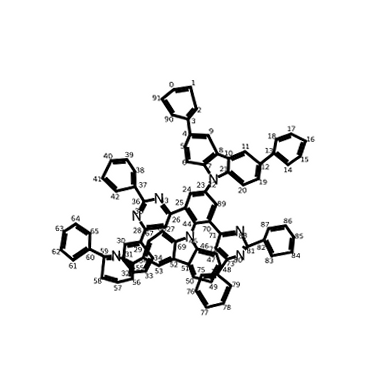 c1ccc(-c2ccc3c(c2)c2cc(-c4ccccc4)ccc2n3-c2cc(-c3cc(-c4ccccc4)nc(-c4ccccc4)n3)c(-n3c4ccccc4c4cc(-c5cccc(-c6ccccc6)n5)ccc43)c(-c3cc(-c4ccccc4)nc(-c4ccccc4)n3)c2)cc1